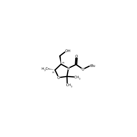 C[C@H]1OC(C)(C)N(C(=O)OC(C)(C)C)[C@@H]1CO